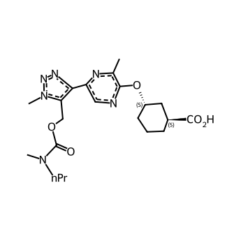 CCCN(C)C(=O)OCc1c(-c2cnc(O[C@H]3CCC[C@H](C(=O)O)C3)c(C)n2)nnn1C